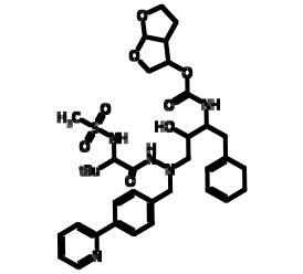 CC(C)(C)C(NS(C)(=O)=O)C(=O)NN(Cc1ccc(-c2ccccn2)cc1)CC(O)C(CC1=CC=CCC1)NC(=O)OC1COC2OCCC12